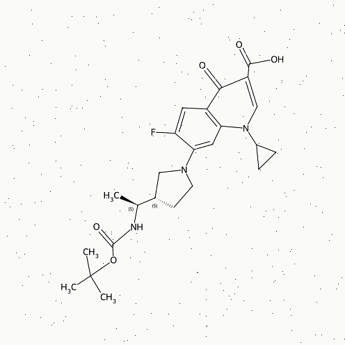 C[C@H](NC(=O)OC(C)(C)C)[C@H]1CCN(c2cc3c(cc2F)c(=O)c(C(=O)O)cn3C2CC2)C1